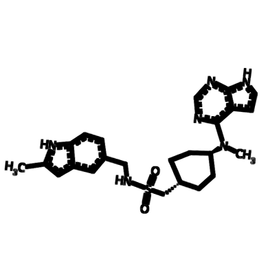 Cc1cc2cc(CNS(=O)(=O)C[C@H]3CC[C@H](N(C)c4ncnc5[nH]ccc45)CC3)ccc2[nH]1